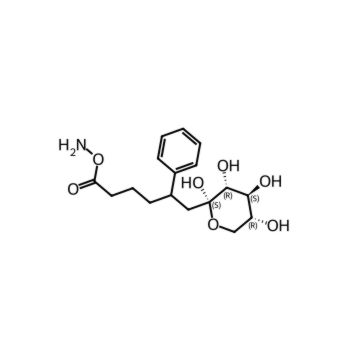 NOC(=O)CCCC(C[C@]1(O)OC[C@@H](O)[C@H](O)[C@H]1O)c1ccccc1